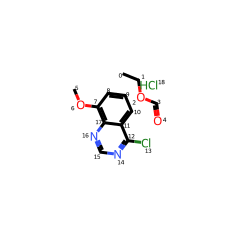 CCOC=O.COc1cccc2c(Cl)ncnc12.Cl